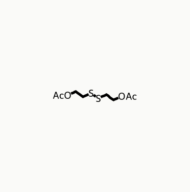 CC(=O)OCCSSCCOC(C)=O